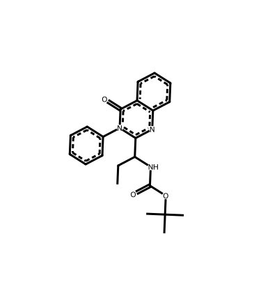 CCC(NC(=O)OC(C)(C)C)c1nc2ccccc2c(=O)n1-c1ccccc1